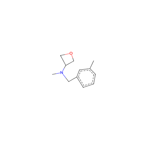 Cc1cccc(CN(C)C2COC2)c1